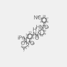 CC(C)n1c(=O)n(CC2CC2)c(=O)c2cc(NC(=O)N3CCC[C@@H](NC(=O)c4cccc(C#N)c4)C3)ccc21